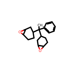 CC(c1ccccc1)(C1CCC2OC2C1)C1CCC2OC2C1